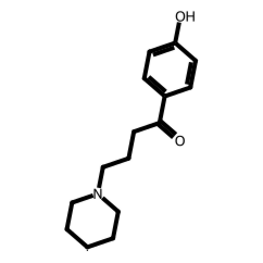 O=C(CCCN1CC[CH]CC1)c1ccc(O)cc1